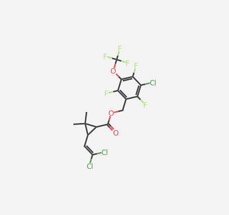 CC1(C)C(C=C(Cl)Cl)C1C(=O)OCc1c(F)c(Cl)c(F)c(OC(F)(F)F)c1F